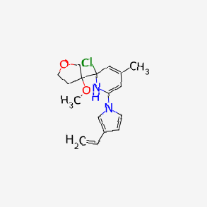 C=Cc1ccn(C2=CC(C)=CC(Cl)(C3(OC)CCOC3)N2)c1